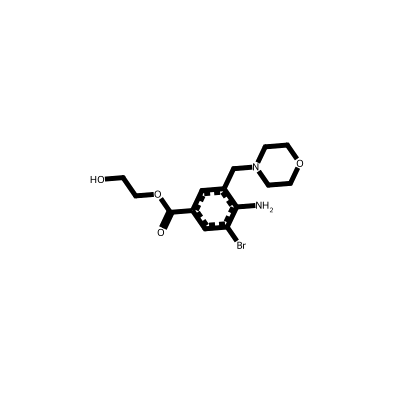 Nc1c(Br)cc(C(=O)OCCO)cc1CN1CCOCC1